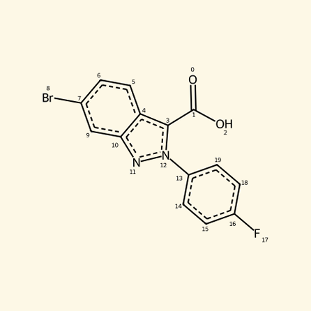 O=C(O)c1c2ccc(Br)cc2nn1-c1ccc(F)cc1